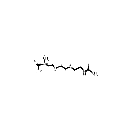 CC(I)NCCOCCOCCN(C)C(=O)C(C)C